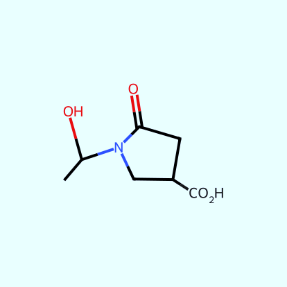 CC(O)N1CC(C(=O)O)CC1=O